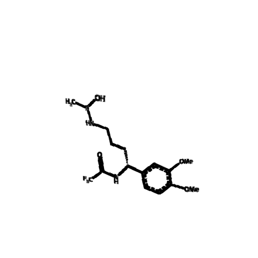 COc1ccc([C@@H](CCCNB(C)O)NC(=O)C(F)(F)F)cc1OC